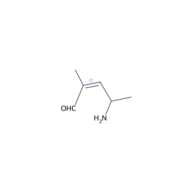 C/C(C=O)=C/C(C)N